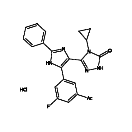 CC(=O)c1cc(F)cc(-c2[nH]c(-c3ccccc3)nc2-c2n[nH]c(=O)n2C2CC2)c1.Cl